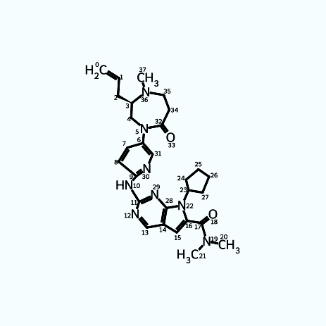 C=CC[C@@H]1CN(c2ccc(Nc3ncc4cc(C(=O)N(C)C)n(C5CCCC5)c4n3)nc2)C(=O)CCN1C